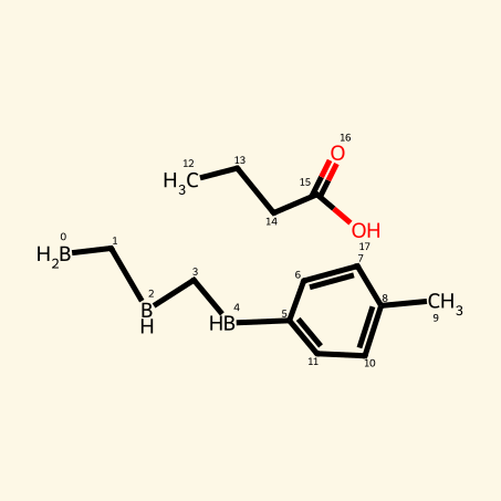 BCBCBc1ccc(C)cc1.CCCC(=O)O